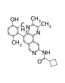 Cc1ccc(O)c(C)c1-c1cc2cnc(NC(=O)C3CCC3)cc2c2nc(C)c(C)nc12